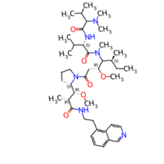 CC[C@H](C)C([C@@H](CC(=O)N1CCC[C@H]1[C@H](OC)[C@@H](C)C(=O)NCCc1cccc2cnccc12)OC)N(C)C(=O)[C@@H](NC(=O)C(C(C)C)N(C)C)C(C)C